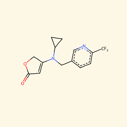 O=C1C=C(N(Cc2ccc(C(F)(F)F)nc2)C2CC2)CO1